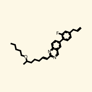 C=CCc1ccc(-c2ccc3nc(C=CCCCC(C)OCCCCC)ncc3c2)c(F)c1